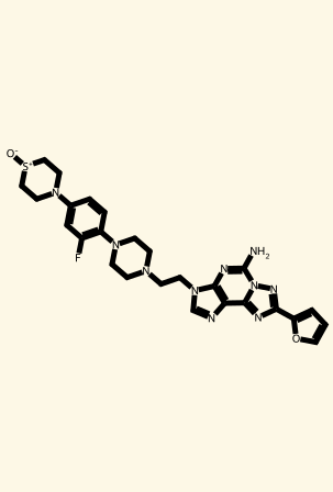 Nc1nc2c(ncn2CCN2CCN(c3ccc(N4CC[S+]([O-])CC4)cc3F)CC2)c2nc(-c3ccco3)nn12